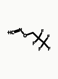 [CH]=NOCC(F)(F)C(F)(F)F